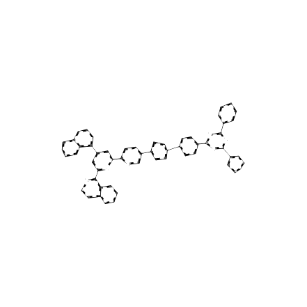 c1ccc(-c2nc(-c3ccccc3)nc(-c3ccc(-c4ccc(-c5ccc(-c6cc(-c7cccc8ccccc78)cc(-c7nccc8ccccc78)n6)nc5)cc4)cc3)n2)cc1